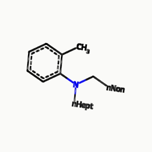 CCCCCCCCCCN(CCCCCCC)c1ccccc1C